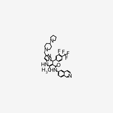 CC1=C(C(=O)Nc2ccc3cnccc3c2)C(c2ccc(C(F)(F)F)c(F)c2)n2nc(CN3CCC(N4CCCC4)CC3)cc2N1